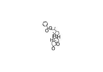 C[C@H](COC(=O)c1ccccc1)[C@H]1CC[C@H]2[C@@H]3CCC45OC4C(=O)CC[C@]5(C)[C@H]3CC[C@]12C